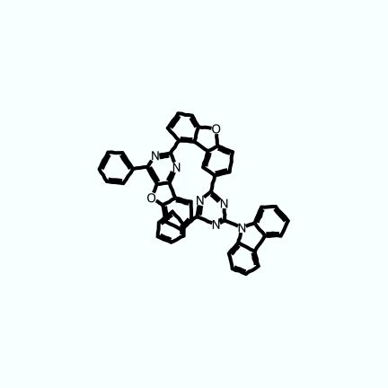 c1ccc(-c2nc(-c3ccc4oc5cccc(-c6nc(-c7ccccc7)c7oc8ccccc8c7n6)c5c4c3)nc(-n3c4ccccc4c4ccccc43)n2)cc1